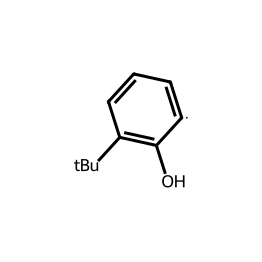 CC(C)(C)c1ccc[c]c1O